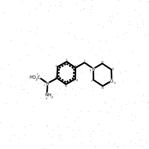 NN(C(=O)O)c1ccc(CN2CCOCC2)cc1